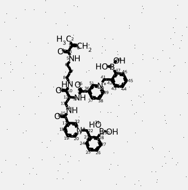 C=C(C)C(=O)NCCCNC(=O)C(CNC(=O)c1ccc[n+](Cc2ccccc2B(O)O)c1)NC(=O)c1ccc[n+](Cc2ccccc2B(O)O)c1